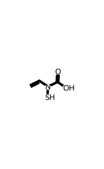 C=CN(S)C(=O)O